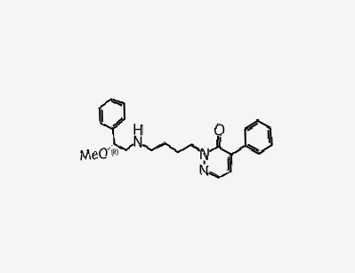 CO[C@@H](CNCCCCn1nccc(-c2ccccc2)c1=O)c1ccccc1